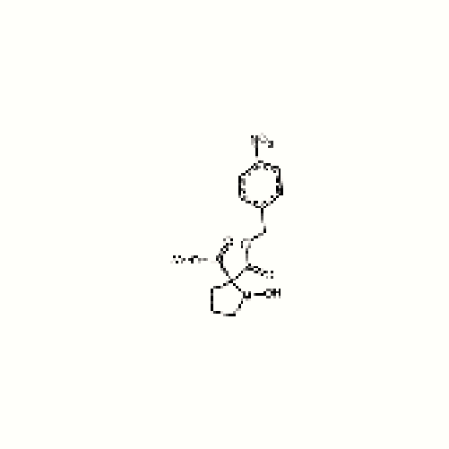 COC(=O)[C@]1(C(=O)OCc2ccc([N+](=O)[O-])cc2)CCCN1O